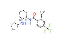 O=C(N[C@@H]1CCCC[C@@H]1NC1CCCC1)c1ccc(C(F)(F)F)cc1C1CC1